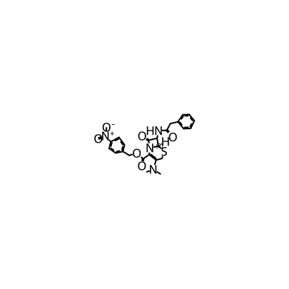 CN(C)C1=C(C(=O)OCc2ccc([N+](=O)[O-])cc2)N2C(=O)C(NC(=O)Cc3ccccc3)[C@H]2SC1